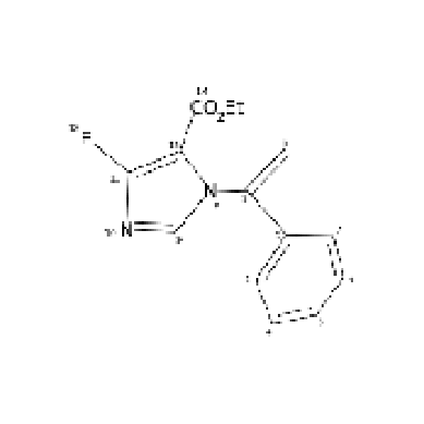 C=C(c1ccccc1)n1cnc(F)c1C(=O)OCC